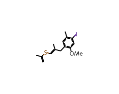 C=C(C)S/C=C(\C)Cc1cc(C)c(I)cc1OC